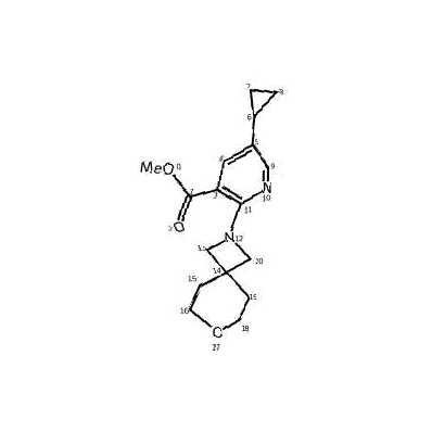 COC(=O)c1cc(C2CC2)cnc1N1CC2(CCOCC2)C1